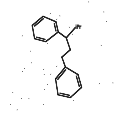 CC(C)C(CCc1ccccc1)c1ccccc1